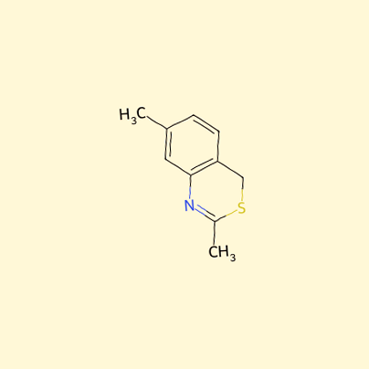 CC1=Nc2cc(C)ccc2CS1